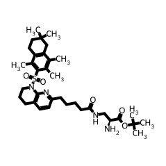 Cc1c(C)c(S(=O)(=O)N2CCCc3ccc(CCCCC(=O)NC[C@H](N)C(=O)OC(C)(C)C)nc32)c(C)c2c1CC(C)(C)CC2